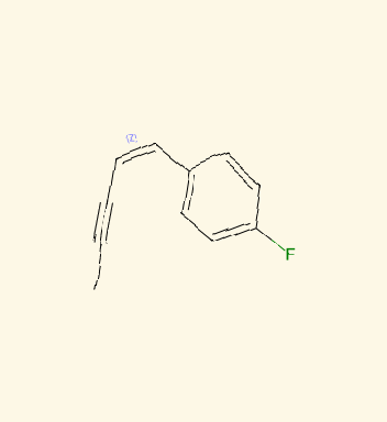 CC#C/C=C\c1ccc(F)cc1